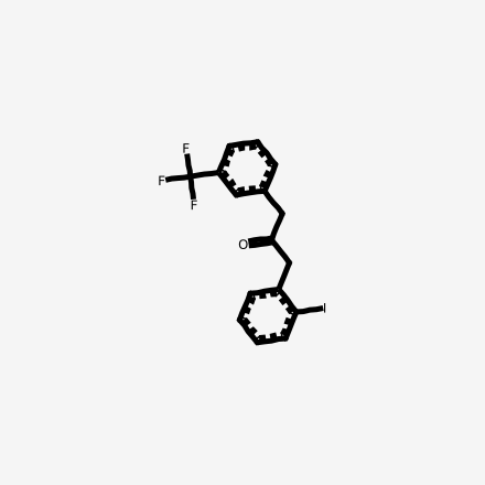 O=C(Cc1cccc(C(F)(F)F)c1)Cc1ccccc1I